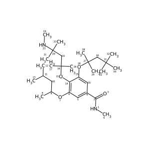 CNC(=O)c1cc(OC(C)CC(C)C)c(OC(C)(C)CC(C)(C)NC)c(OC(C)(C)CC(C)(C)C)c1